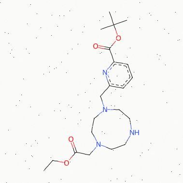 CCOC(=O)CN1CCNCCN(Cc2cccc(C(=O)OC(C)(C)C)n2)CC1